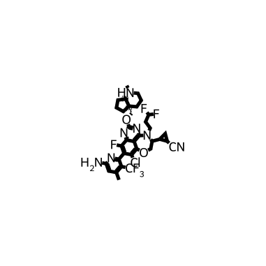 Cc1cc(N)nc(-c2c(Cl)c3c4c(nc(OC[C@]56CCC[C@H]5N(C)CCC6)nc4c2F)N(CCC(F)F)C(C2CC2C#N)CO3)c1C(F)(F)F